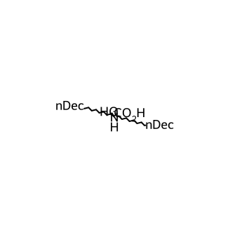 CCCCCCCCCCCCCCCCCCNCCCCCCCCCCCCCCCCCC.O=C(O)O